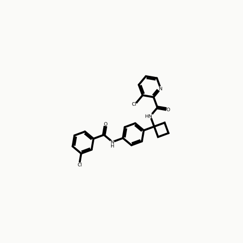 O=C(Nc1ccc(C2(NC(=O)c3ncccc3Cl)CCC2)cc1)c1cccc(Cl)c1